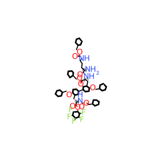 N[C@@H](CCCNC(=O)OCc1ccccc1)C(=O)N[C@@H](Cc1cc(-c2ccc(OCc3ccccc3)c(C[C@H](NC(=O)OCc3ccccc3)C(=O)Oc3c(F)c(F)c(F)c(F)c3F)c2)ccc1OCc1ccccc1)C(=O)OCc1ccccc1